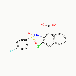 O=C(O)c1c(NS(=O)(=O)c2ccc(F)cc2)c(Cl)cc2ccccc12